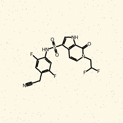 N#CCc1cc(F)c(NS(=O)(=O)c2c[nH]c3c(=O)n(CC(F)F)ccc23)cc1F